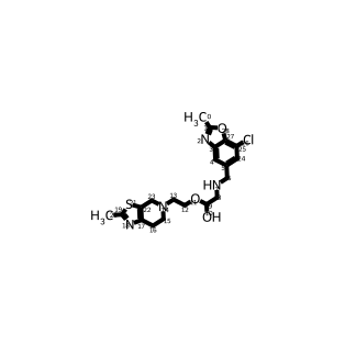 Cc1nc2cc(CNCC(O)OCCN3CCc4nc(C)sc4C3)cc(Cl)c2o1